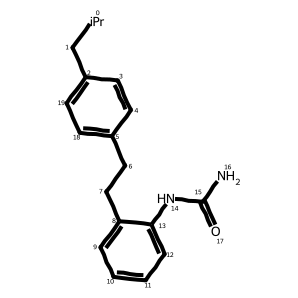 CC(C)Cc1ccc(CCc2ccccc2NC(N)=O)cc1